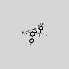 CSc1cc(-c2ccc(F)cc2)cc2c(N[C@H](C)c3ccc(C)nn3)ncnc12